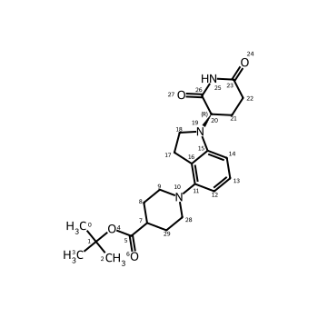 CC(C)(C)OC(=O)C1CCN(c2cccc3c2CCN3[C@@H]2CCC(=O)NC2=O)CC1